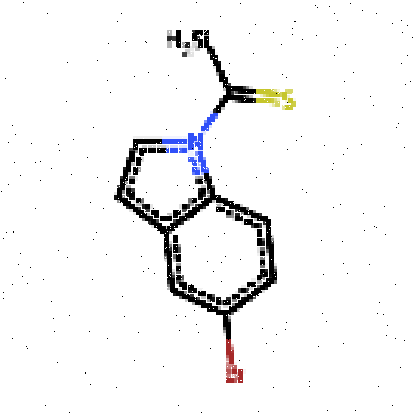 [SiH3]C(=S)n1ccc2cc(Br)ccc21